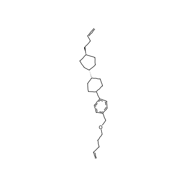 C=CCCCOCc1ccc(C2CCC([C@H]3CC[C@H](CCC=C)CC3)CC2)cc1